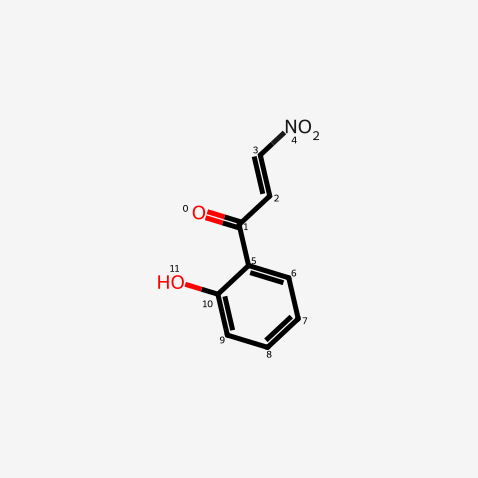 O=C(C=C[N+](=O)[O-])c1ccccc1O